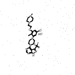 Cc1c(OCCN2CCN(C)CC2)cc(Cl)cc1N1CCN(c2ncnc3[nH]nc(C(F)(F)F)c23)CC1.Cl